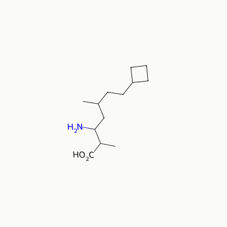 CC(CCC1CCC1)CC(N)C(C)C(=O)O